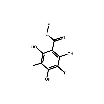 O=C(OF)c1c(O)c(F)c(O)c(F)c1O